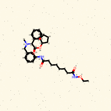 CCONC(=O)CCCCCCC(=O)Nc1cccc(CN(C)[C@H](C(=O)OC2CCCC2)c2ccccc2)c1